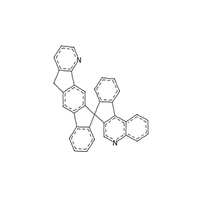 c1cnc2c(c1)Cc1cc3c(cc1-2)C1(c2ccccc2-3)c2ccccc2-c2c1cnc1ccccc21